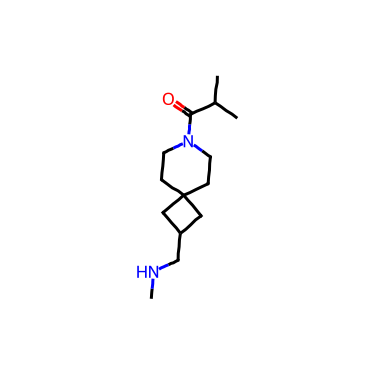 CNCC1CC2(CCN(C(=O)C(C)C)CC2)C1